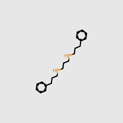 c1ccc(CCCPCCCPCCCc2ccccc2)cc1